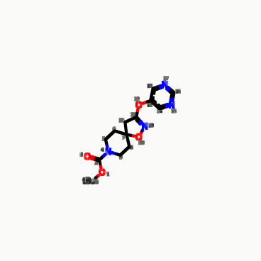 CC(C)(C)OC(=O)N1CCC2(CC1)CC(Oc1cncnc1)=NO2